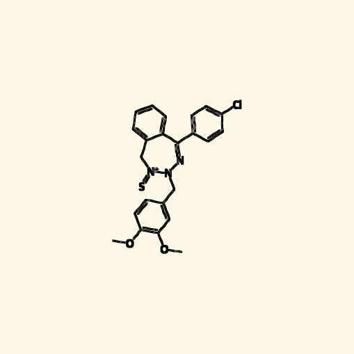 COc1ccc(CN2N=C(c3ccc(Cl)cc3)c3ccccc3C[N+]2=S)cc1OC